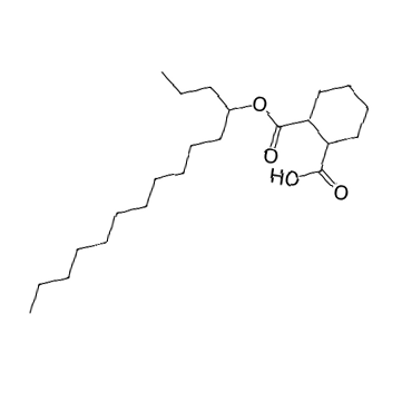 CCCCCCCCCCCC(CCC)OC(=O)C1CCCCC1C(=O)O